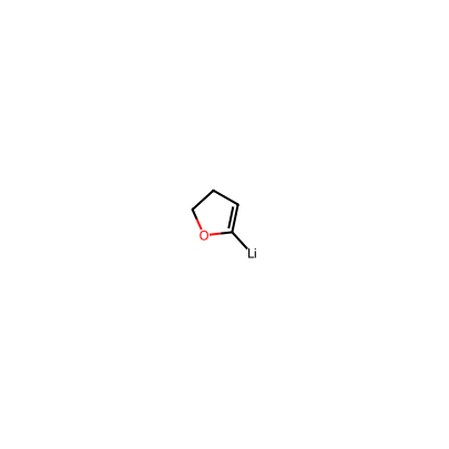 [Li][C]1=CCCO1